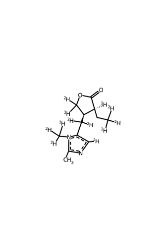 [2H]c1nc(C)n(C([2H])([2H])[2H])c1C([2H])([2H])[C@H]1C([2H])([2H])OC(=O)[C@@]1([2H])CC([2H])([2H])[2H]